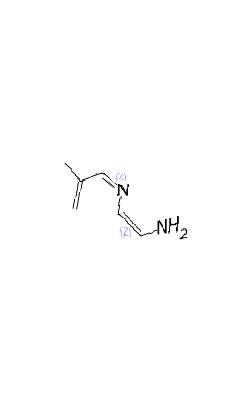 C=C(C)/C=N\C=C/N